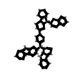 C1=CC(N(C2=CCC(C3=CC4C(C=C3)C3=C(C=CCC3)N4C3C=Cc4ccccc4C3)C=C2)c2ccc3c(c2)sc2ccccc23)C2Oc3ccccc3C2=C1